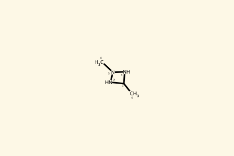 CC1NN(C)N1